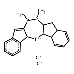 CP1C2=Cc3ccccc3[CH]2[Ti+2][CH]2C3C=CC=CC3CC2P1C.[Cl-].[Cl-]